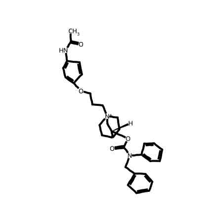 CC(=O)Nc1ccc(OCCC[N+]23CCC(CC2)[C@@H](OC(=O)N(Cc2ccccc2)c2ccccc2)C3)cc1